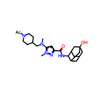 CC(=O)N1CCC(CN(C)c2cc(C(=O)NC3C4CC5CC3CC(O)(C5)C4)nn2C)CC1